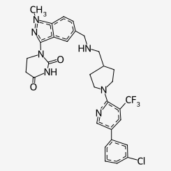 Cn1nc(N2CCC(=O)NC2=O)c2cc(CNCC3CCN(c4ncc(-c5cccc(Cl)c5)cc4C(F)(F)F)CC3)ccc21